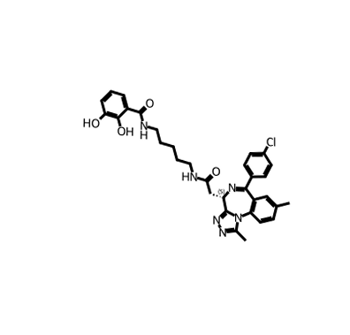 Cc1ccc2c(c1)C(c1ccc(Cl)cc1)=N[C@@H](CC(=O)NCCCCCNC(=O)c1cccc(O)c1O)c1nnc(C)n1-2